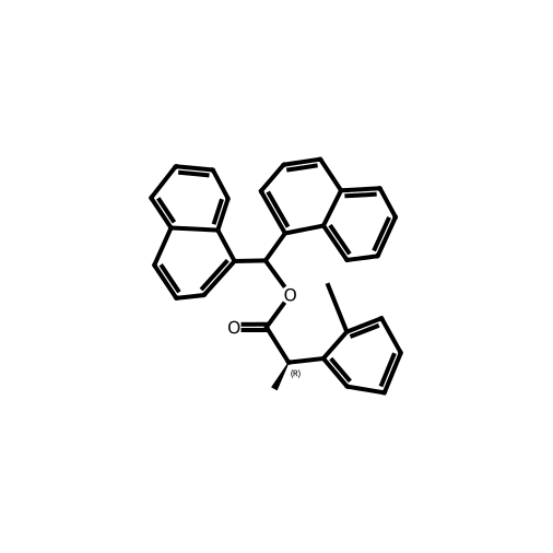 Cc1ccccc1[C@@H](C)C(=O)OC(c1cccc2ccccc12)c1cccc2ccccc12